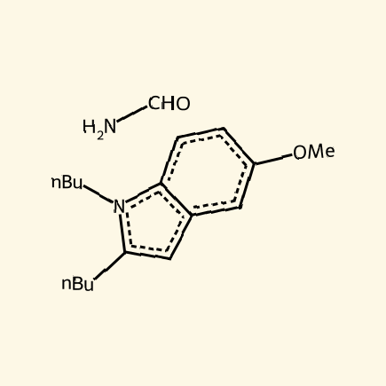 CCCCc1cc2cc(OC)ccc2n1CCCC.NC=O